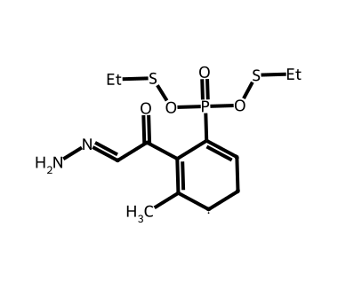 CCSOP(=O)(OSCC)C1=CC[CH]C(C)=C1C(=O)C=NN